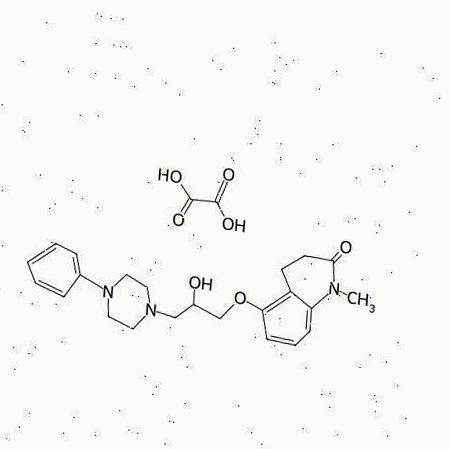 CN1C(=O)CCc2c(OCC(O)CN3CCN(c4ccccc4)CC3)cccc21.O=C(O)C(=O)O